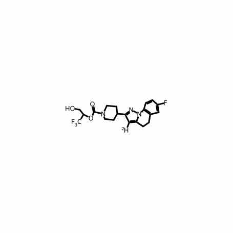 [2H]c1c(C2CCN(C(=O)OC(CO)C(F)(F)F)CC2)nn2c1CCc1cc(F)ccc1-2